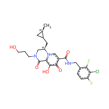 C[C@@H]1CC1C[C@@H]1CN(CCCO)C(=O)c2c(O)c(=O)c(C(=O)NCc3ccc(F)c(Cl)c3F)cn21